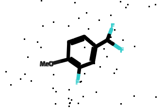 COc1ccc(C(F)F)cc1F